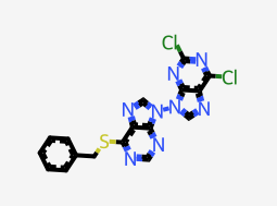 Clc1nc(Cl)c2ncn(-n3cnc4c(SCc5ccccc5)ncnc43)c2n1